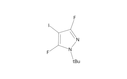 CC(C)(C)n1nc(F)c(I)c1F